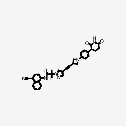 CC(C)(C(=O)Nc1ccc(C#N)c2ccccc12)n1cc(C#CC2CN(c3ccc(C4CCC(=O)NC4=O)cc3)C2)cn1